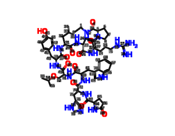 CCNC(=O)C1CCCN1C(=O)C(CCCNC(=N)N)NC(=O)C(CC(C)C)NC(=O)C(CC(C)C)NC(=O)C(Cc1ccc(O)cc1)NC(=O)C(COC(C)C)NC(=O)C(Cc1c[nH]c2ccccc12)NC(=O)C(Cc1cnc[nH]1)NC(=O)C1CCC(=O)N1